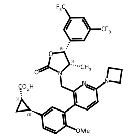 COc1ccc([C@H]2C[C@@H]2C(=O)O)cc1-c1ccc(N2CCC2)nc1CN1C(=O)O[C@H](c2cc(C(F)(F)F)cc(C(F)(F)F)c2)[C@@H]1C